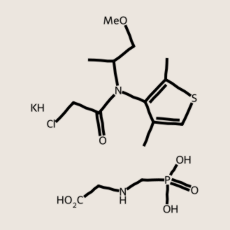 COCC(C)N(C(=O)CCl)c1c(C)csc1C.O=C(O)CNCP(=O)(O)O.[KH]